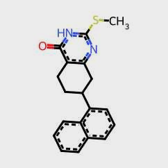 CSc1nc2c(c(=O)[nH]1)CCC(c1cccc3ccccc13)C2